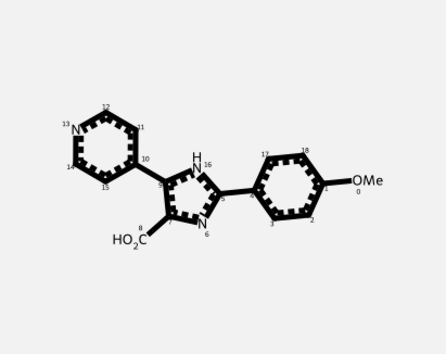 COc1ccc(-c2nc(C(=O)O)c(-c3ccncc3)[nH]2)cc1